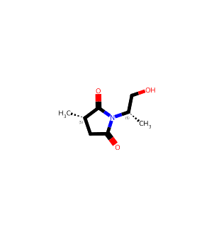 C[C@H]1CC(=O)N([C@@H](C)CO)C1=O